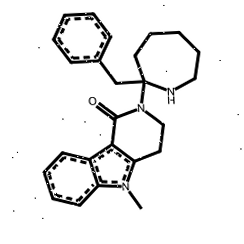 Cn1c2c(c3ccccc31)C(=O)N(C1(Cc3ccccc3)CCCCCN1)CC2